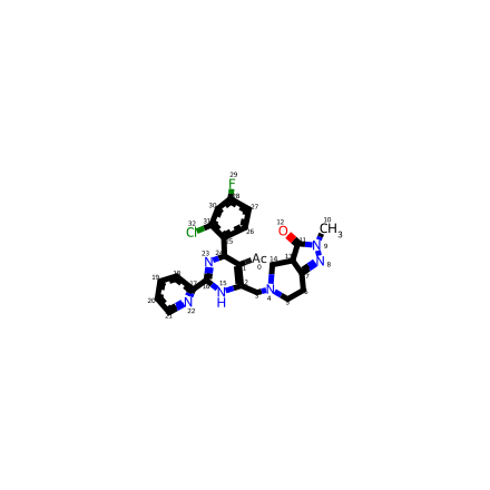 CC(=O)C1=C(CN2CCC3=NN(C)C(=O)C3C2)NC(c2ccccn2)=NC1c1ccc(F)cc1Cl